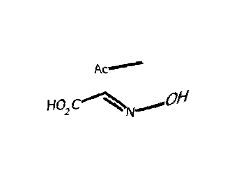 CC(C)=O.O=C(O)C=NO